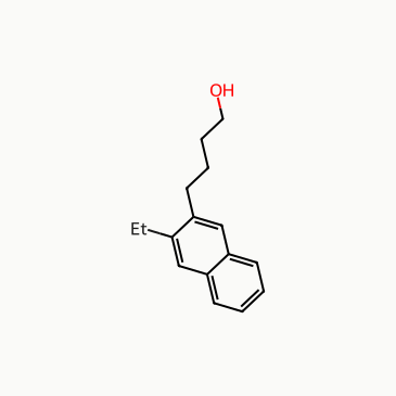 CCc1cc2ccccc2cc1CCCCO